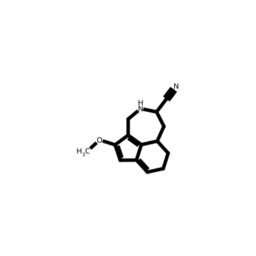 COC1=CC2=CCCC3CC(C#N)NCC1=C23